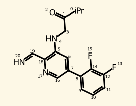 CC(C)C(=O)CNc1cc(-c2cccc(F)c2F)cnc1C=N